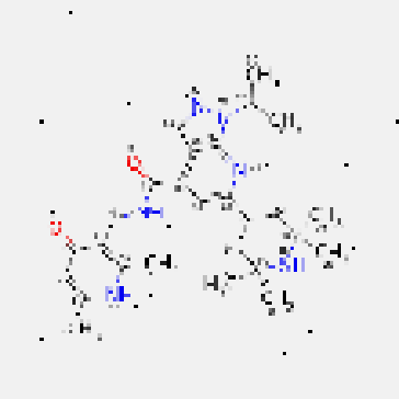 Cc1cc(=O)c(CNC(=O)c2cc(C3CC(C)(C)NC(C)(C)C3)nc3c2cnn3C(C)C)c(C)[nH]1